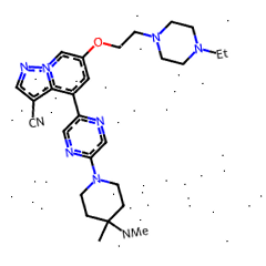 CCN1CCN(CCOc2cc(-c3cnc(N4CCC(C)(NC)CC4)cn3)c3c(C#N)cnn3c2)CC1